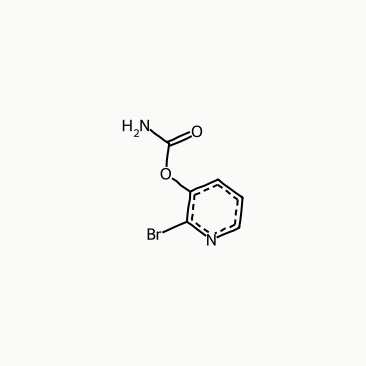 NC(=O)Oc1cccnc1Br